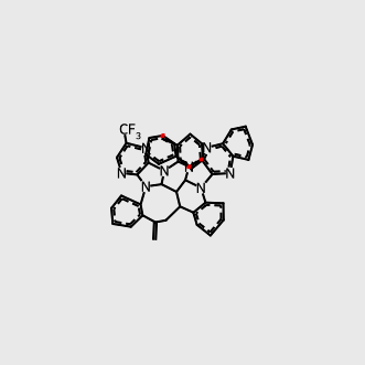 C=C1CC2c3ccccc3N3c4nc5ccccc5nc4N(c4ccccc4)C3C2C2N(c3ccccc3C)c3nc(C(F)(F)F)cnc3N2c2ccccc21